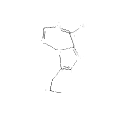 C[C@@H](O)Cc1cnc2c(N)ncnn12